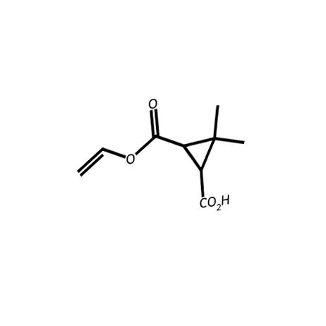 C=COC(=O)C1C(C(=O)O)C1(C)C